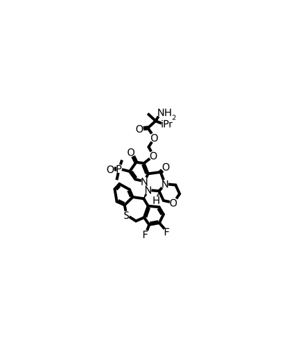 CC(C)C(C)(N)C(=O)OCOc1c2n(cc(P(C)(C)=O)c1=O)N([C@@H]1c3ccccc3SCc3c1ccc(F)c3F)[C@@H]1COCCN1C2=O